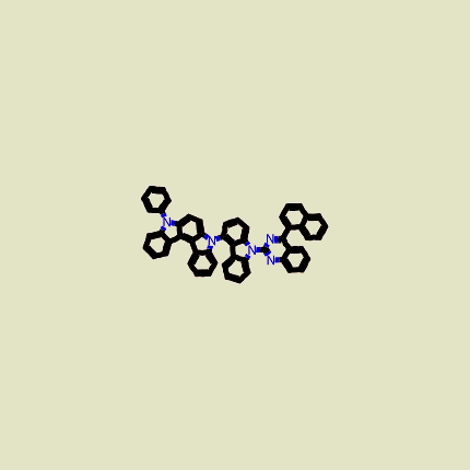 c1ccc(-n2c3ccccc3c3c4c5ccccc5n(-c5cccc6c5c5ccccc5n6-c5nc(-c6cccc7ccccc67)c6ccccc6n5)c4ccc32)cc1